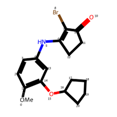 COc1ccc(NC2=C(Br)C(=O)CC2)cc1OC1CCCC1